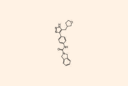 O=C(Nc1ccc(-c2nn[nH]c2CC2CCOC2)cc1)N1Cc2ccccc2C1